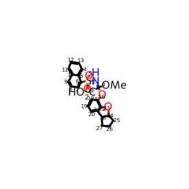 COC(NS(=O)(=O)c1cccc2ccccc12)(Oc1cccc2c1OC1CCCC21)C(=O)O